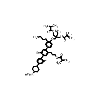 C=C(C)C(=O)OCCCc1cc(-c2ccc(C3CCC(CCCCC)CC3)cc2F)c(CC)cc1-c1ccc(OCC(CN)(COC(=O)C(=C)C)COC(=O)C(=C)C)c(CCCN)c1